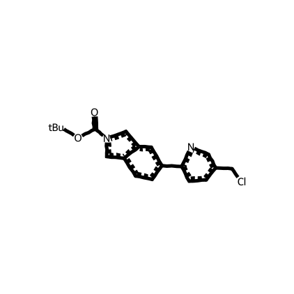 CC(C)(C)OC(=O)n1cc2ccc(-c3ccc(CCl)cn3)cc2c1